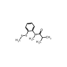 CSSc1ccccc1N(C)C(=O)C(C)C